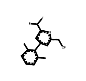 Cc1cccc(C)c1-c1cc(CO)nc(C(F)F)c1